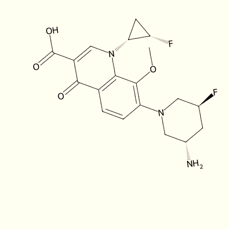 COc1c(N2C[C@@H](N)C[C@H](F)C2)ccc2c(=O)c(C(=O)O)cn([C@@H]3C[C@@H]3F)c12